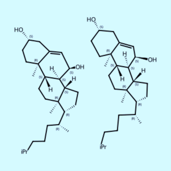 CC(C)CCC[C@@H](C)[C@H]1CC[C@H]2[C@@H]3[C@H](O)C=C4C[C@@H](O)CC[C@]4(C)[C@H]3CC[C@]12C.CC(C)CCC[C@@H](C)[C@H]1CC[C@H]2[C@@H]3[C@H](O)C=C4C[C@@H](O)CC[C@]4(C)[C@H]3CC[C@]12C